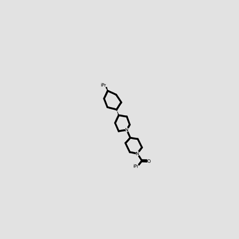 CC(C)C(=O)N1CCC(N2CCC([C@H]3CC[C@H](C(C)C)CC3)CC2)CC1